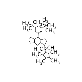 CC1C(C)C(C)C(S(C)(C)C2CCC3C2CC2CCCC2C3c2cc(C(C)(C)C)cc(C(C)(C)C)c2)C1C